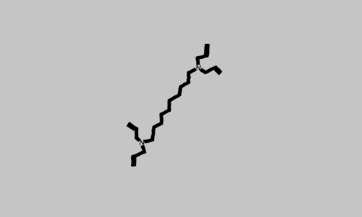 C=CCN(CC=C)CCCCCCCCCCN(CC=C)CC=C